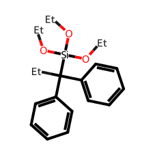 CCO[Si](OCC)(OCC)C(CC)(c1ccccc1)c1ccccc1